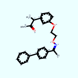 CCC(=NOCCOc1cccc(C(C)C(=O)OC)c1)c1ccc(-c2ccccc2)cc1